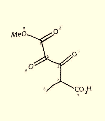 COC(=O)C(=O)C(=O)C(C)C(=O)O